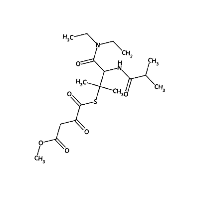 CCN(CC)C(=O)C(NC(=O)C(C)C)C(C)(C)SC(=O)C(=O)CC(=O)OC